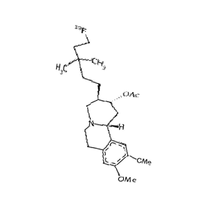 COc1cc2c(cc1OC)[C@H]1C[C@@H](OC(C)=O)[C@H](CCC(C)(C)CC[19F])CN1CC2